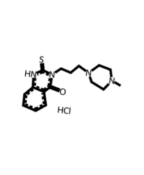 CN1CCN(CCCn2c(=S)[nH]c3ccccc3c2=O)CC1.Cl